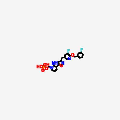 Nc1c(-c2cc(Cc3cnc(OCc4cccc(F)c4)c(F)c3)no2)ccc[n+]1COP(=O)(O)O